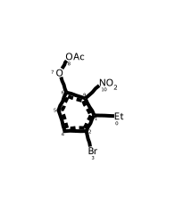 CCc1c(Br)ccc(OOC(C)=O)c1[N+](=O)[O-]